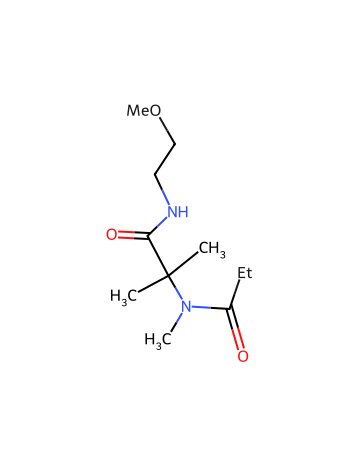 CCC(=O)N(C)C(C)(C)C(=O)NCCOC